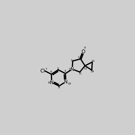 O=C1CN(c2cc(Cl)ncn2)CC12CC2